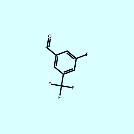 O=[C]c1cc(F)cc(C(F)(F)F)c1